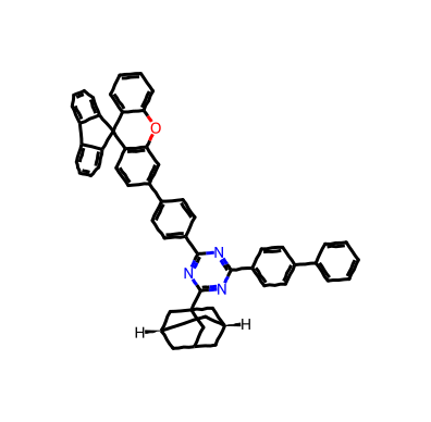 c1ccc(-c2ccc(-c3nc(-c4ccc(-c5ccc6c(c5)Oc5ccccc5C65c6ccccc6-c6ccccc65)cc4)nc(C45CC6C[C@H](C4)C[C@@H](C6)C5)n3)cc2)cc1